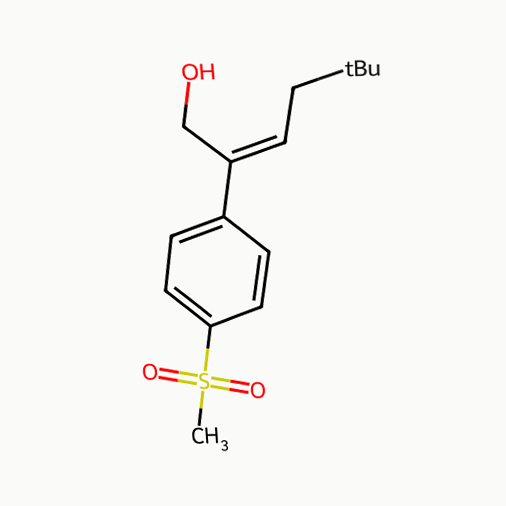 CC(C)(C)CC=C(CO)c1ccc(S(C)(=O)=O)cc1